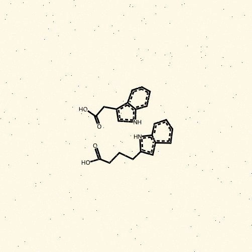 O=C(O)CCCc1cc2ccccc2[nH]1.O=C(O)Cc1c[nH]c2ccccc12